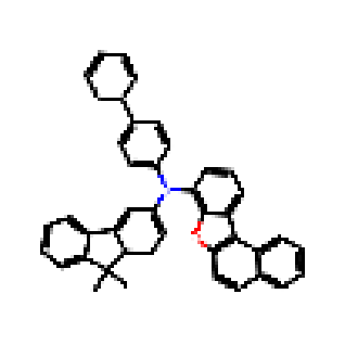 CC1(C)c2ccccc2C2=CC(N(c3ccc(C4C=CC=CC4)cc3)c3cccc4c3oc3ccc5ccccc5c34)=CCC21